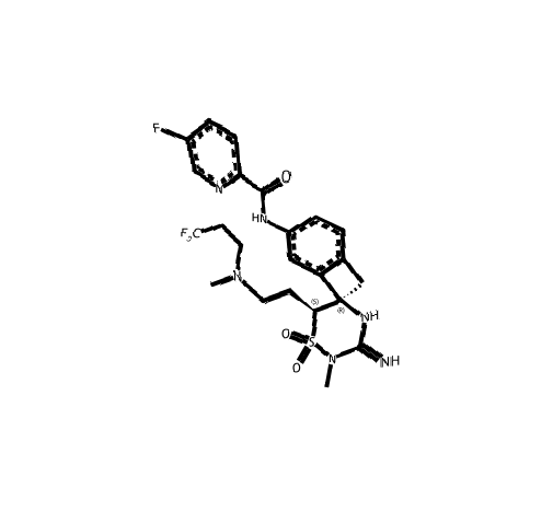 CN(CC[C@H]1[C@]2(Cc3ccc(NC(=O)c4ccc(F)cn4)cc32)NC(=N)N(C)S1(=O)=O)CCC(F)(F)F